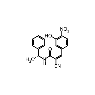 C[C@@H](NC(=O)C(C#N)=Cc1ccc([N+](=O)[O-])c(O)c1)c1ccccc1